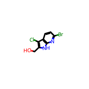 OCc1[nH]c2nc(Br)ccc2c1Cl